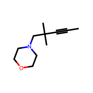 CC#CC(C)(C)CN1CCOCC1